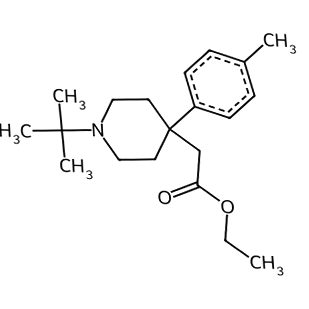 CCOC(=O)CC1(c2ccc(C)cc2)CCN(C(C)(C)C)CC1